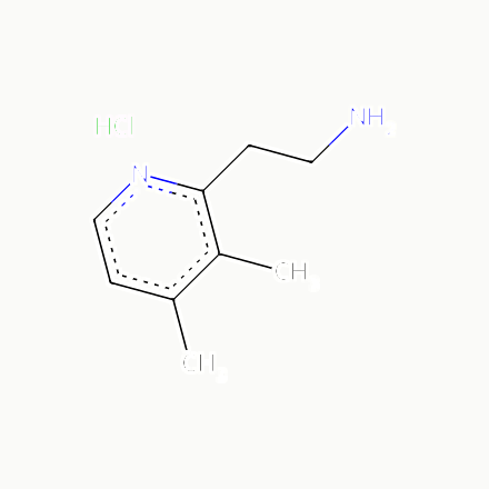 Cc1ccnc(CCN)c1C.Cl